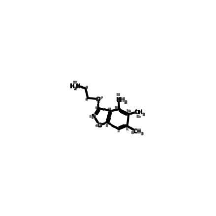 Cc1cc2onc(OCCN)c2c(N)c1C